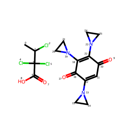 CC(Cl)C(Cl)(Cl)C(=O)O.O=C1C=C(N2CC2)C(=O)C(N2CC2)=C1N1CC1